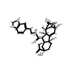 C=C1C[C@]23C[C@@]1(O)CC[C@H]2C1=C[C@H]2OC(=O)[C@@](C)([C@H]1[C@@H]3C(=O)NCCc1ccc3c(c1)OCO3)[C@H]2O